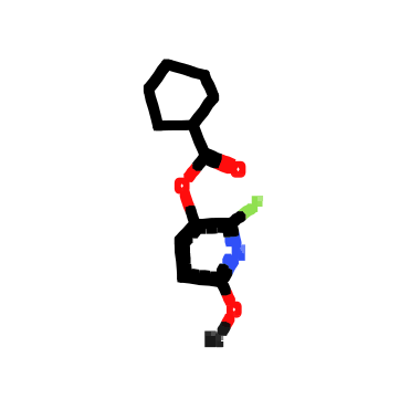 CCOc1ccc(OC(=O)C2CCCCC2)c(F)n1